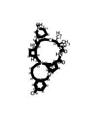 C[C@@H]1[C@@H](C)CCC[C@@](O)(C[C@H]2CCCN(C)C2)[C@@H]2CC[C@H]2CN2CCCCc3cc(Cl)ccc3COc3ccc(cc32)C(=O)NS1(=O)=O